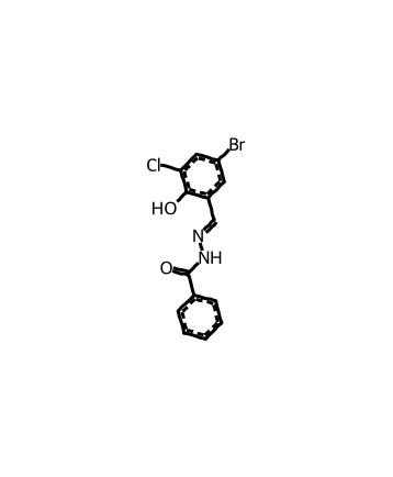 O=C(NN=Cc1cc(Br)cc(Cl)c1O)c1ccccc1